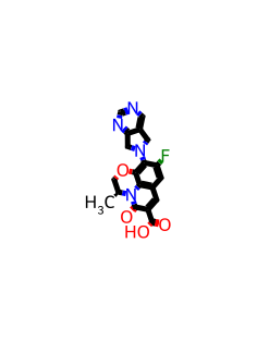 C[C@H]1COc2c(N3Cc4cncnc4C3)c(F)cc3cc(C(=O)O)c(=O)n1c23